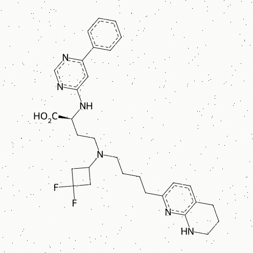 O=C(O)[C@H](CCN(CCCCc1ccc2c(n1)NCCC2)C1CC(F)(F)C1)Nc1cc(-c2ccccc2)ncn1